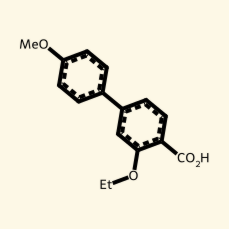 CCOc1cc(-c2ccc(OC)cc2)ccc1C(=O)O